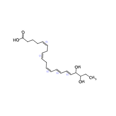 CCC(O)C(O)/C=C/C=C/C=C\C/C=C\C/C=C\CCCC(=O)O